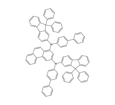 c1ccc(-c2ccc(N(c3ccc4c(c3)C(c3ccccc3)(c3ccccc3)c3ccccc3-4)c3cc(N(c4ccc(-c5ccccc5)cc4)c4ccc5c(c4)C(c4ccccc4)(c4ccccc4)c4ccccc4-5)c4ccc5ccccc5c4c3)cc2)cc1